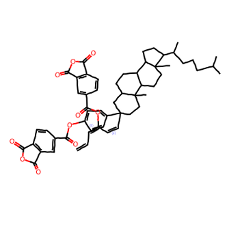 C=C/C=C(\C=C/C1(c2ccc(OC(=O)c3ccc4c(c3)C(=O)OC4=O)cc2)CCC2(C)C(CCC3C2CCC2(C)C(C(C)CCCC(C)C)CCC32)C1)OC(=O)c1ccc2c(c1)C(=O)OC2=O